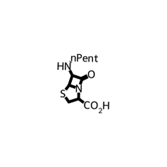 CCCCCNC1C(=O)N2C(C(=O)O)CSC12